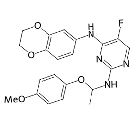 COc1ccc(OC(C)Nc2ncc(F)c(Nc3ccc4c(c3)OCCO4)n2)cc1